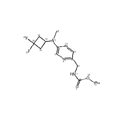 CN(c1cnc(CNC(=O)OC(C)(C)C)cn1)C1CC(F)(F)C1